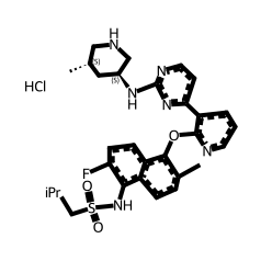 Cc1ccc2c(NS(=O)(=O)CC(C)C)c(F)ccc2c1Oc1ncccc1-c1ccnc(N[C@@H]2CNC[C@@H](C)C2)n1.Cl